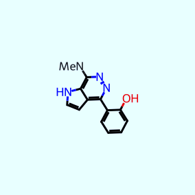 CNc1nnc(-c2ccccc2O)c2cc[nH]c12